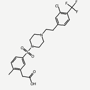 Cc1ccc(S(=O)(=O)N2CCN(CCc3ccc(C(F)(F)F)c(Cl)c3)CC2)cc1CC(=O)O